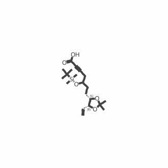 C=C[C@H]1OC(C)(C)O[C@H]1CCC(CC#CC(=O)O)O[Si](C)(C)C(C)(C)C